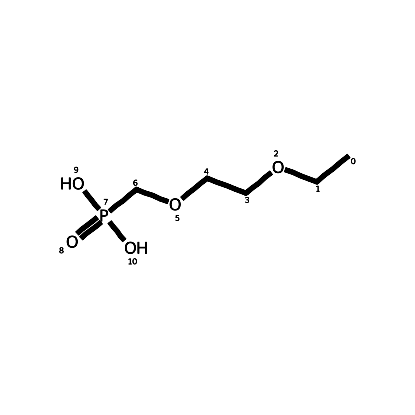 CCOCCOCP(=O)(O)O